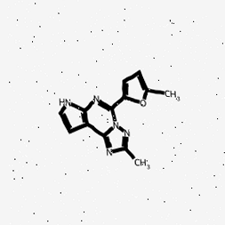 Cc1nc2c3cc[nH]c3nc(-c3ccc(C)o3)n2n1